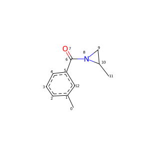 Cc1cccc(C(=O)N2CC2C)c1